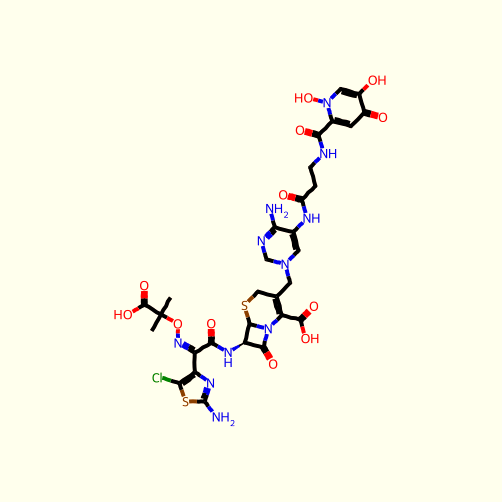 CC(C)(O/N=C(\C(=O)N[C@@H]1C(=O)N2C(C(=O)O)=C(CN3C=C(NC(=O)CCNC(=O)c4cc(=O)c(O)cn4O)C(N)=NC3)CSC12)c1nc(N)sc1Cl)C(=O)O